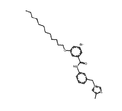 CCCCCCCCCCCCOc1cccc(C(=O)Nc2cccc(C[n+]3csc(C)c3)c2)c1.[Br-]